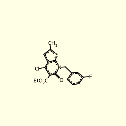 CCOC(=O)c1c(Cl)c2cc(C)sc2n(Cc2cccc(F)c2)c1=O